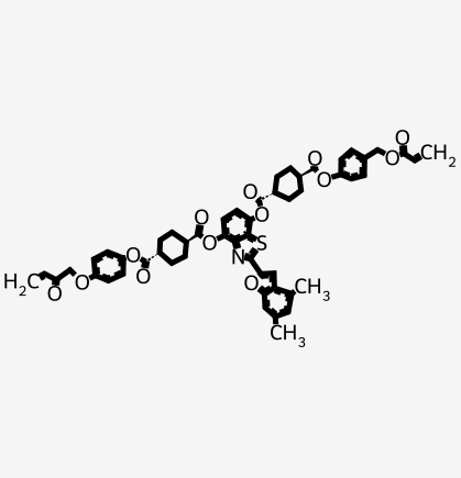 C=CC(=O)COc1ccc(OC(=O)[C@H]2CC[C@H](C(=O)Oc3ccc(OC(=O)[C@H]4CC[C@H](C(=O)Oc5ccc(COC(=O)C=C)cc5)CC4)c4sc(-c5cc6c(C)cc(C)cc6o5)nc34)CC2)cc1